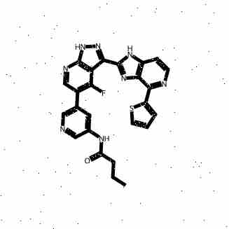 CCCC(=O)Nc1cncc(-c2cnc3[nH]nc(-c4nc5c(-c6cccs6)nccc5[nH]4)c3c2F)c1